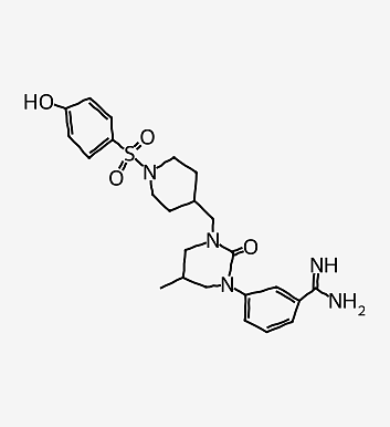 CC1CN(CC2CCN(S(=O)(=O)c3ccc(O)cc3)CC2)C(=O)N(c2cccc(C(=N)N)c2)C1